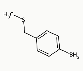 Bc1ccc(CSC)cc1